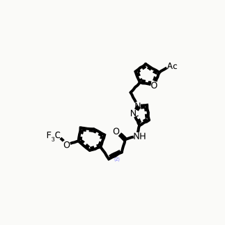 CC(=O)c1ccc(Cn2ccc(NC(=O)/C=C\c3cccc(OC(F)(F)F)c3)n2)o1